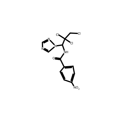 O=C(NC(n1cncn1)C(Cl)(Cl)CCl)c1ccc([N+](=O)[O-])cc1